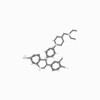 CCN(CC)CC1CCN(c2ccc([C@@H]3c4ccc(O)cc4OCC3c3ccc(F)c(C)c3)cc2)CC1